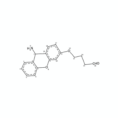 NC1c2ccccc2Oc2cc(OCCCC=O)ccc21